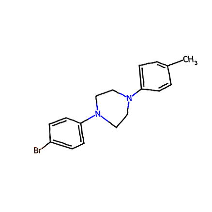 Cc1ccc(N2CCN(c3ccc(Br)cc3)CC2)cc1